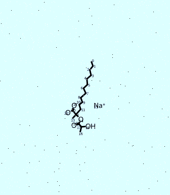 CCCCCCCCCCCCC(C)(OC(=O)C(C)O)C(=O)[O-].[Na+]